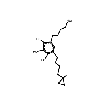 CC(C)(C)CCCCc1cc(CCCCC2(C)CC2)c(O)c(O)c1O